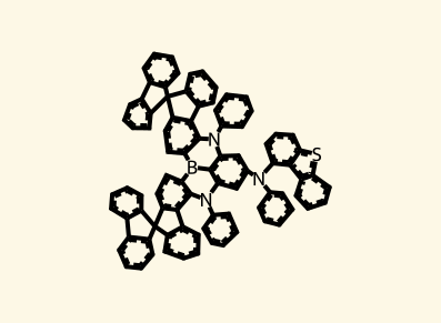 c1ccc(N2c3cc(N(c4ccccc4)c4cccc5sc6ccccc6c45)cc4c3B(c3ccc5c(c32)-c2ccccc2C52c3ccccc3-c3ccccc32)c2ccc3c(c2N4c2ccccc2)-c2ccccc2C32c3ccccc3-c3ccccc32)cc1